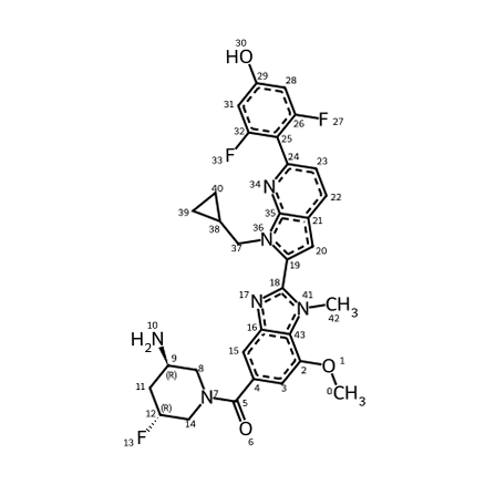 COc1cc(C(=O)N2C[C@H](N)C[C@@H](F)C2)cc2nc(-c3cc4ccc(-c5c(F)cc(O)cc5F)nc4n3CC3CC3)n(C)c12